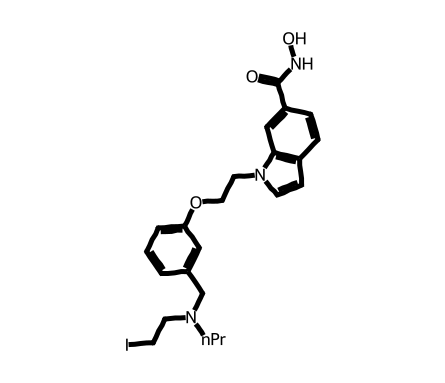 CCCN(CCI)Cc1cccc(OCCn2ccc3ccc(C(=O)NO)cc32)c1